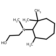 CC1CCCCC(C)(C)C1N(C)CCO